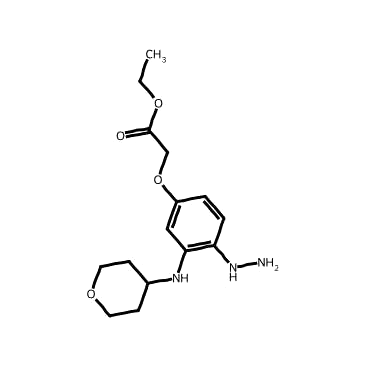 CCOC(=O)COc1ccc(NN)c(NC2CCOCC2)c1